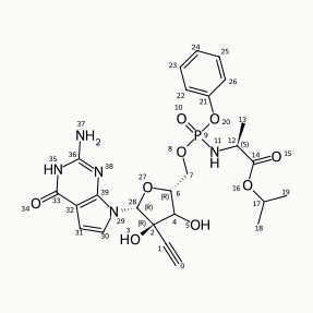 C#C[C@@]1(O)C(O)[C@@H](COP(=O)(N[C@@H](C)C(=O)OC(C)C)Oc2ccccc2)O[C@H]1n1ccc2c(=O)[nH]c(N)nc21